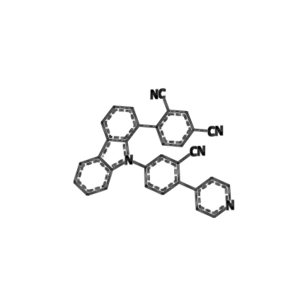 N#Cc1ccc(-c2cccc3c4ccccc4n(-c4ccc(-c5ccncc5)c(C#N)c4)c23)c(C#N)c1